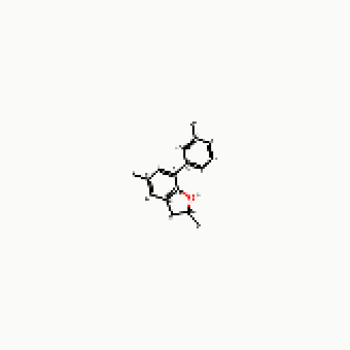 Cc1cccc(-c2cc(C)cc3c2OC(C)C3)c1